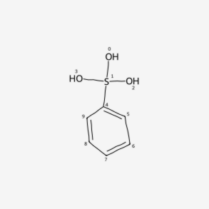 OS(O)(O)c1ccccc1